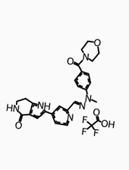 CN(N=Cc1cc(-c2cc3c([nH]2)CCNC3=O)ccn1)c1ccc(C(=O)N2CCOCC2)cc1.O=C(O)C(F)(F)F